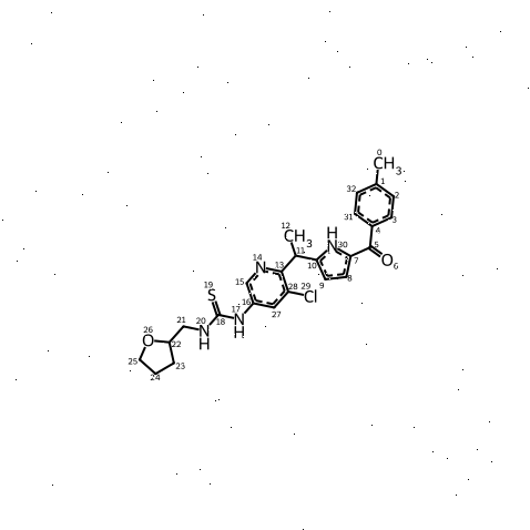 Cc1ccc(C(=O)c2ccc(C(C)c3ncc(NC(=S)NCC4CCCO4)cc3Cl)[nH]2)cc1